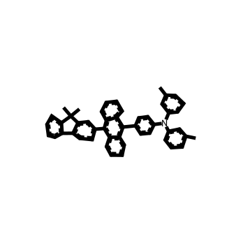 Cc1cccc(N(c2ccc(-c3c4ccccc4c(-c4ccc5c(c4)C(C)(C)c4ccccc4-5)c4ccccc34)cc2)c2cccc(C)c2)c1